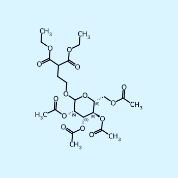 CCOC(=O)C(CCOC1O[C@H](COC(C)=O)[C@@H](OC(C)=O)[C@H](OC(C)=O)[C@@H]1OC(C)=O)C(=O)OCC